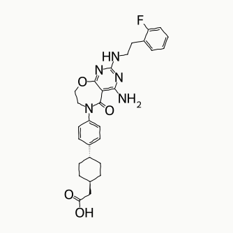 Nc1nc(NCCc2ccccc2F)nc2c1C(=O)N(c1ccc([C@H]3CC[C@H](CC(=O)O)CC3)cc1)CCO2